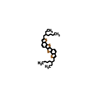 CCCCC(CC)Cc1cc2ccc3c(sc4c5ccc6cc(CC(CC)CCCC)sc6c5sc34)c2s1